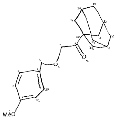 COc1ccc(COCC(=O)C23CC4CC(CC(C4)C2)C3)cc1